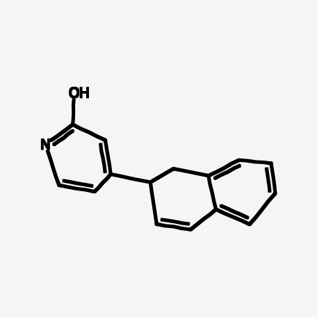 Oc1cc(C2C=Cc3ccccc3C2)ccn1